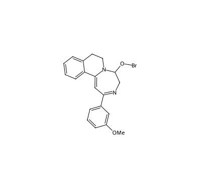 COc1cccc(C2=NCC(OBr)N3CCc4ccccc4C3=C2)c1